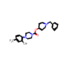 N#Cc1cc(C(F)(F)F)ccc1N1CCN(C(=O)OC2CCN(Cc3ccccc3)CC2)CC1